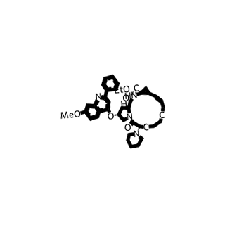 CCOC(=O)C12CC1/C=C\CCCCC[C@H](N1CCCCC1)C(=O)N1C[C@H](Oc3cc(-c4ccccc4)nc4cc(OC)ccc34)C[C@H]1C(=O)N2